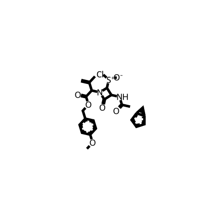 C=C(C)C(C(=O)OCc1ccc(OC)cc1)N1C(=O)C(NC(C)=O)C1[S+]([O-])Cl.c1cc2cc-2c1